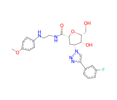 COc1ccc(NCCNC(=O)[C@H]2C[C@@H](n3cc(-c4cccc(F)c4)nn3)[C@@H](O)[C@@H](CO)O2)cc1